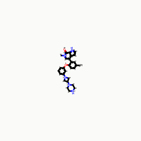 CC(C)c1ccc(Oc2cccc(N3CC(N4CCNCC4)C3)c2)c(-c2cn(C)c(=O)c3[nH]ccc23)c1